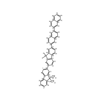 CC1(C)c2cc(-c3ccc4c(c3)C(C(F)(F)F)(C(F)(F)F)c3ccccc3-4)ccc2-c2ccc(-c3ccc4cc(-c5ccc6ccccc6c5)ccc4c3)cc21